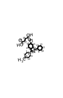 CN1CCN(c2nn(-c3ccccc3)c3cc(Cl)ccc23)CC1.O=C(O)C=CC(=O)O